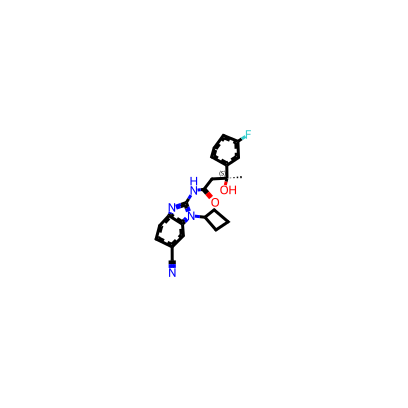 C[C@](O)(CC(=O)Nc1nc2ccc(C#N)cc2n1C1CCC1)c1cccc(F)c1